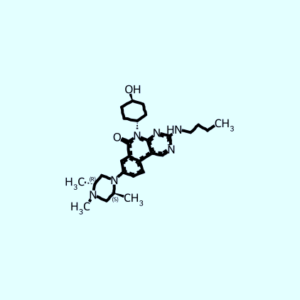 CCCCNc1ncc2c3ccc(N4C[C@@H](C)N(C)C[C@@H]4C)cc3c(=O)n([C@H]3CC[C@H](O)CC3)c2n1